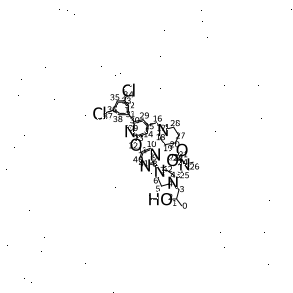 CC(O)CN1CCN(c2ncc(Oc3cc(CN4CCC(OC(=O)N(C)C)CC4)cc(-c4cc(Cl)cc(Cl)c4)n3)cn2)CC1